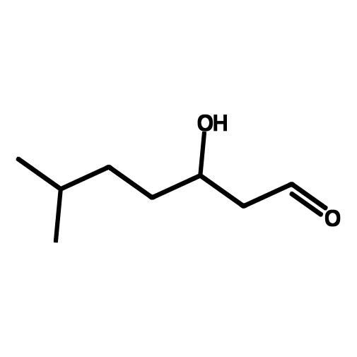 CC(C)CCC(O)CC=O